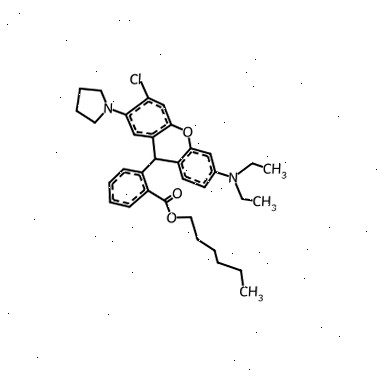 CCCCCCOC(=O)c1ccccc1C1c2ccc(N(CC)CC)cc2Oc2cc(Cl)c(N3CCCC3)cc21